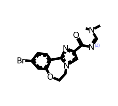 CN(C)/C=N\C(=O)c1cn2c(n1)-c1ccc(Br)cc1OCC2